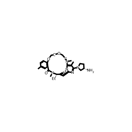 CC[C@H]1c2cc3nc(N4CC[C@H](N)C4)c(C)c(n3n2)N(C)CCOCCOc2ccc(C)cc2C(=O)N1C